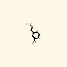 CCc1[c]c(C=NO)ccc1